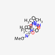 COCCN1CCC2(CC1)CC(N1C(=O)c3cccc(c3)S(=O)(=O)Nc3nc(cc(-c4c(C)cccc4C)n3)OC[C@H]1CC(C)(C)C(F)(F)F)C2